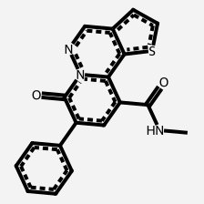 CNC(=O)c1cc(-c2ccccc2)c(=O)n2ncc3ccsc3c12